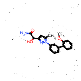 Cc1cc(C(O)C(N)=O)nn1-c1cccc(-c2ccccc2OC(F)(F)F)c1